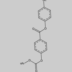 [C-]#[N+]c1ccc(OC(=O)c2ccc(OC(=O)OCCC)cc2)cc1